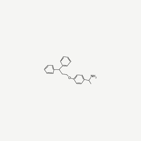 CC(N)c1ccc(OCCC(c2ccccc2)c2ccccc2)cc1